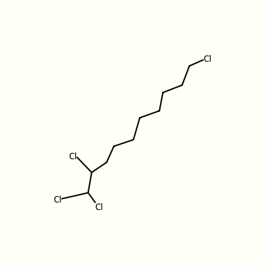 ClCCCCCCCCC(Cl)C(Cl)Cl